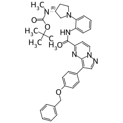 CN(C(=O)OC(C)(C)C)[C@@H]1CCN(c2ccccc2NC(=O)c2ccn3ncc(-c4ccc(OCc5ccccc5)cc4)c3n2)C1